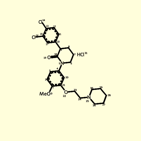 COc1ccc(N2CCCC(c3ccc(Cl)c(Cl)c3)C2=O)cc1OCCN1CCCCC1.Cl